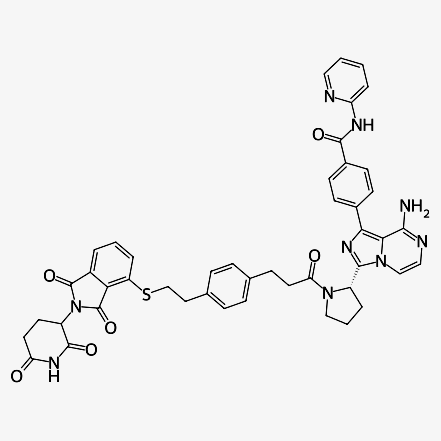 Nc1nccn2c([C@@H]3CCCN3C(=O)CCc3ccc(CCSc4cccc5c4C(=O)N(C4CCC(=O)NC4=O)C5=O)cc3)nc(-c3ccc(C(=O)Nc4ccccn4)cc3)c12